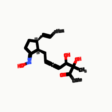 CCCCCCC=C[C@H]1CCC(=NO)[C@@H]1CC=C=CC(O)C(C)(O)C(=O)OC